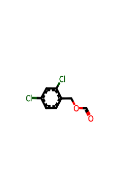 O=COCc1ccc(Cl)cc1Cl